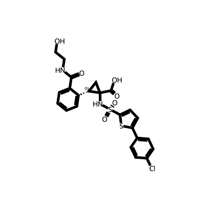 O=C(NCCO)c1ccccc1[C@@H]1CC1(NS(=O)(=O)c1ccc(-c2ccc(Cl)cc2)s1)C(=O)O